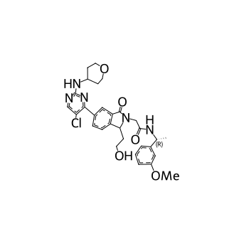 COc1cccc([C@@H](C)NC(=O)CN2C(=O)c3cc(-c4nc(NC5CCOCC5)ncc4Cl)ccc3C2CCO)c1